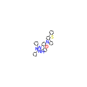 c1ccc(C2=NC(c3ccccc3)NC(c3cccc4oc5c(-n6c7ccccc7c7c8sc9ccccc9c8ccc76)cccc5c34)=N2)cc1